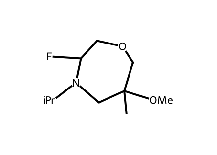 COC1(C)COCC(F)N(C(C)C)C1